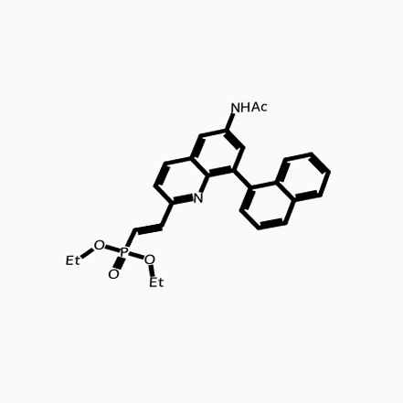 CCOP(=O)(C=Cc1ccc2cc(NC(C)=O)cc(-c3cccc4ccccc34)c2n1)OCC